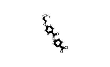 C=CCOc1ccc(C(=O)Oc2ccc(C(=O)Cl)cc2)cc1